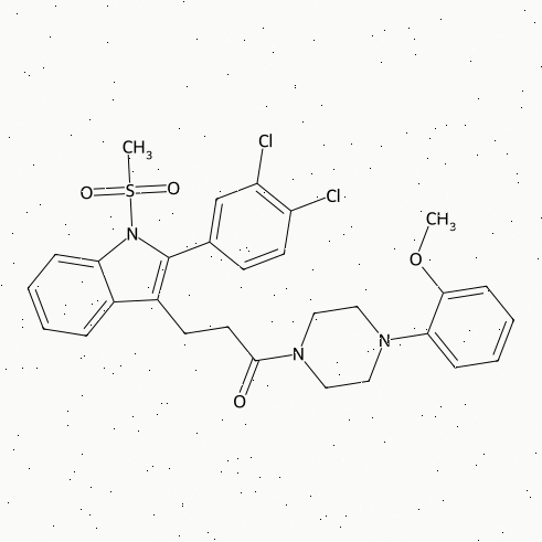 COc1ccccc1N1CCN(C(=O)CCc2c(-c3ccc(Cl)c(Cl)c3)n(S(C)(=O)=O)c3ccccc23)CC1